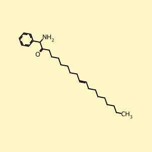 CCCCCCCCC=CCCCCCCCC(=O)C(N)c1ccccc1